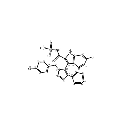 NS(=O)(=O)NC(=O)c1[nH]c2cc(Cl)ccc2c1-c1c(-c2ccccc2)cnn1Cc1ccc(Cl)cc1